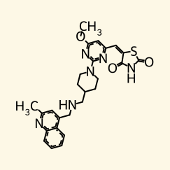 COc1cc(C=C2SC(=O)NC2=O)nc(N2CCC(CNCc3cc(C)nc4ccccc34)CC2)n1